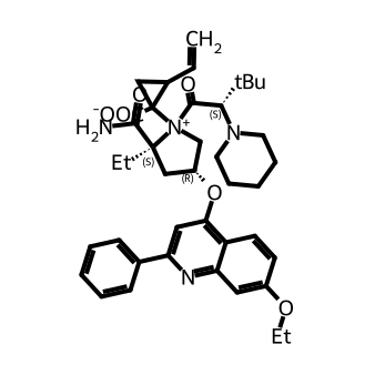 C=CC1CC1(C(=O)[O-])[N+]1(C(=O)[C@@H](N2CCCCC2)C(C)(C)C)C[C@H](Oc2cc(-c3ccccc3)nc3cc(OCC)ccc23)C[C@@]1(CC)C(N)=O